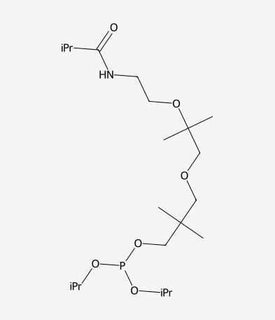 CC(C)OP(OCC(C)(C)COCC(C)(C)OCCNC(=O)C(C)C)OC(C)C